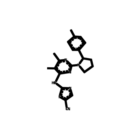 Cc1ccc(C2CCCN2c2nc(C)c(C)c(Nc3ncc(C#N)s3)n2)cc1